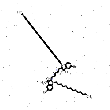 C#CC#CC#CC#CC#CC#CC#CC#CC#CC#CC#C[N+]1=C(/C=C/C=C/C=C2\N(CCCCCCCCCCCCCC)c3ccc(Br)cc3C2(C)C)C(C)(C)c2cc(Br)ccc21